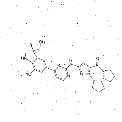 C[C@]1(CO)CNc2c(C#N)cc(-c3ccnc(Nc4cc(C(=O)N5CCCC5)n(C5CCCC5)n4)n3)cc21